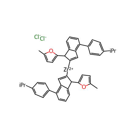 Cc1ccc(C2[C]([Zr+2][C]3=Cc4c(-c5ccc(C(C)C)cc5)cccc4C3c3ccc(C)o3)=Cc3c(-c4ccc(C(C)C)cc4)cccc32)o1.[Cl-].[Cl-]